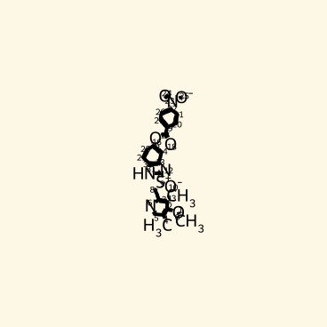 COc1c(C)cnc(C[S+]([O-])c2nc3cc(OC(=O)c4ccc([N+](=O)[O-])cc4)ccc3[nH]2)c1C